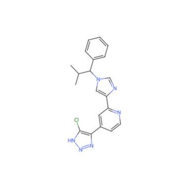 CC(C)C(c1ccccc1)n1cnc(-c2cc(-c3nn[nH]c3Cl)ccn2)c1